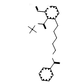 C=Cc1nccc(CCCCCOC(=O)c2ccccc2)c1C(=O)OC(C)(C)C